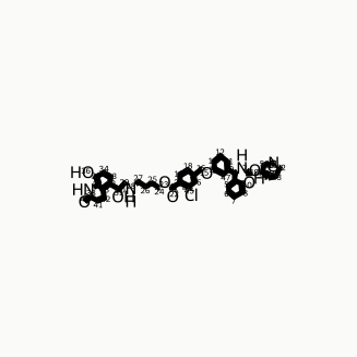 O=C(NC(c1ccccc1)c1cccc(OCc2ccc(C(=O)OCCCCNC[C@H](O)c3ccc(O)c4[nH]c(=O)ccc34)c(Cl)c2)c1)O[C@H]1CN2CCC1CC2